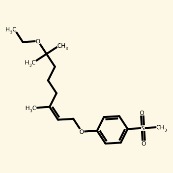 CCOC(C)(C)CCCC(C)=CCOc1ccc(S(C)(=O)=O)cc1